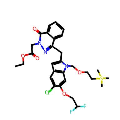 CCOC(=O)Cn1nc(Cc2cc3cc(Cl)c(OCC(F)F)cc3n2COCCS(C)(C)C)c2ccccc2c1=O